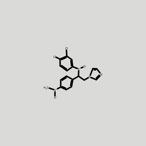 C[S+]([O-])c1ccc(C(Cn2ccnc2)[S+]([O-])c2ccc(Cl)c(Cl)c2)cc1